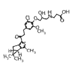 COc1cc(CCC(=O)c2sc(C)c3c2C[C@@H]2[C@H]3C2(C)C)cc(Cl)c1OCC(O)CNCCC(=O)O